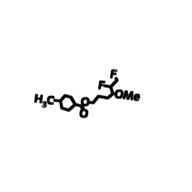 COC(CCCOC(=O)C1CCC(C)CC1)C(F)CF